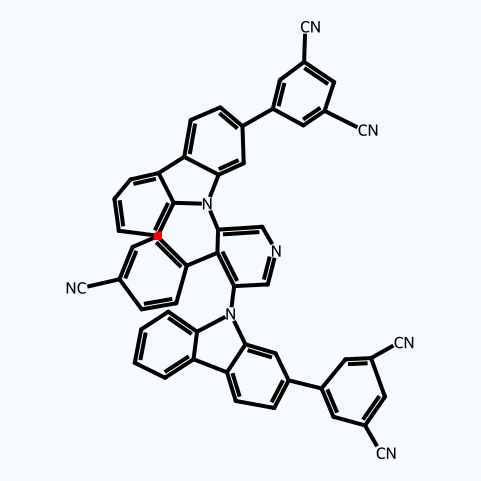 N#Cc1ccc(-c2c(-n3c4ccccc4c4ccc(-c5cc(C#N)cc(C#N)c5)cc43)cncc2-n2c3ccccc3c3ccc(-c4cc(C#N)cc(C#N)c4)cc32)cc1